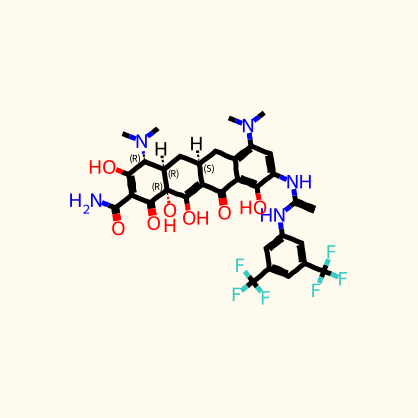 C=C(Nc1cc(C(F)(F)F)cc(C(F)(F)F)c1)Nc1cc(N(C)C)c2c(c1O)C(=O)C1=C(O)[C@@]3(O)C(=O)C(C(N)=O)=C(O)[C@H](N(C)C)[C@H]3C[C@H]1C2